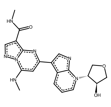 CNC(=O)c1cnn2c(NC)cc(-c3cnc4n([C@@H]5COC[C@H]5O)cccc3-4)nc12